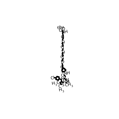 Cc1sc2c(c1C)C(c1ccc(Cl)cc1)=N[C@@H](CC(=O)Nc1ccc(OCCOCCOCCOCCOCCOCCOCCNC(=O)OC(C)(C)C)cc1)c1nnc(C)n1-2